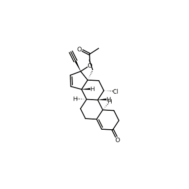 C#C[C@]1(OC(C)=O)C=C[C@H]2[C@@H]3CCC4=CC(=O)CC[C@@H]4[C@H]3[C@@H](Cl)C[C@@]21CC